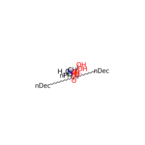 CCCCCCCCCCCCCCCCCCCCCCC(=O)C(CCCCCCCCCCCCCCCCCCCCCC)=C(CCC)C(C[N+](C)(C)C)OP(=O)([O-])OC[C@H](O)CO